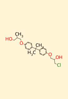 CC(CO)COc1ccc(C(C)(C)c2ccc(OCC(O)CCl)cc2)cc1